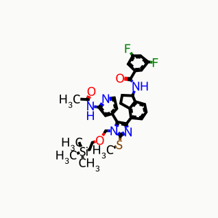 CSc1nc(-c2cccc3c2CCC3NC(=O)c2cc(F)cc(F)c2)c(-c2ccnc(NC(C)=O)c2)n1COCC[Si](C)(C)C